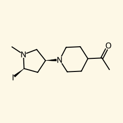 CC(=O)C1CCN([C@H]2C[C@@H](I)N(C)C2)CC1